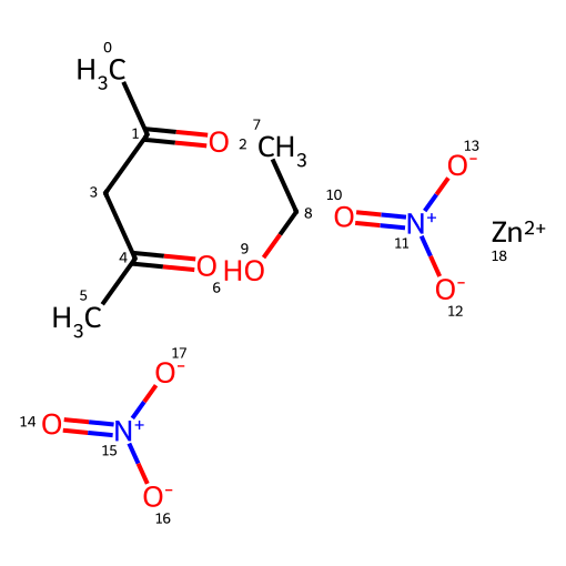 CC(=O)CC(C)=O.CCO.O=[N+]([O-])[O-].O=[N+]([O-])[O-].[Zn+2]